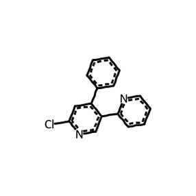 Clc1cc(-c2ccccc2)c(-c2ccccn2)cn1